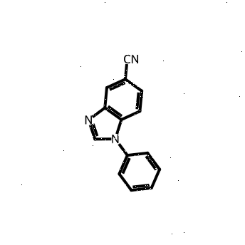 N#Cc1ccc2c(c1)ncn2-c1ccccc1